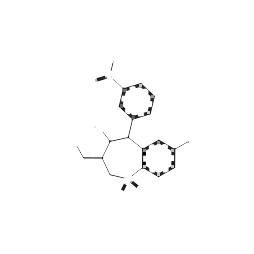 CCC1CS(=O)(=O)c2ccc(F)cc2C(c2cccc([N+](=O)[O-])c2)C1O